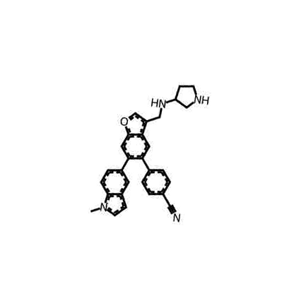 Cn1ccc2cc(-c3cc4occ(CNC5CCNC5)c4cc3-c3ccc(C#N)cc3)ccc21